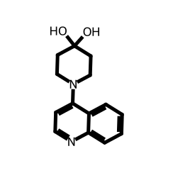 OC1(O)CCN(c2ccnc3ccccc23)CC1